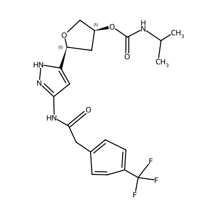 CC(C)NC(=O)O[C@@H]1CO[C@H](c2cc(NC(=O)Cc3ccc(C(F)(F)F)cc3)n[nH]2)C1